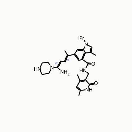 C/C(=C\C=C(/N)N1CCNCC1)c1cc(C(=O)NCc2c(C)cc(C)[nH]c2=O)c2c(C)cn(C(C)C)c2c1